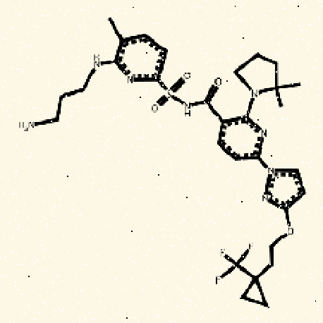 Cc1ccc(S(=O)(=O)NC(=O)c2ccc(-n3ccc(OCCC4(C(F)(F)F)CC4)n3)nc2N2CCCC2(C)C)nc1NCCCN